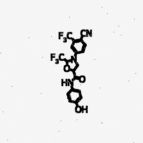 N#Cc1ccc(N2CC(C(=O)Nc3ccc(O)cc3)OC2C(F)(F)F)cc1C(F)(F)F